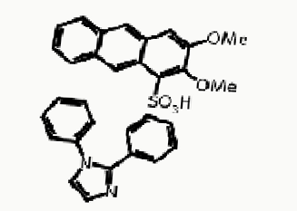 COc1cc2cc3ccccc3cc2c(S(=O)(=O)O)c1OC.c1ccc(-c2nccn2-c2ccccc2)cc1